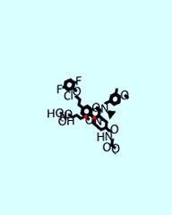 COC(=O)CNC(=O)C1CC2CC(c3ccc(CCCOc4c(F)ccc(F)c4Cl)cc3)=C(C(=O)N(Cc3ccc(OC)c(C)c3)C3CC3)C(C1)N2C(=O)OCCCCON(O)O